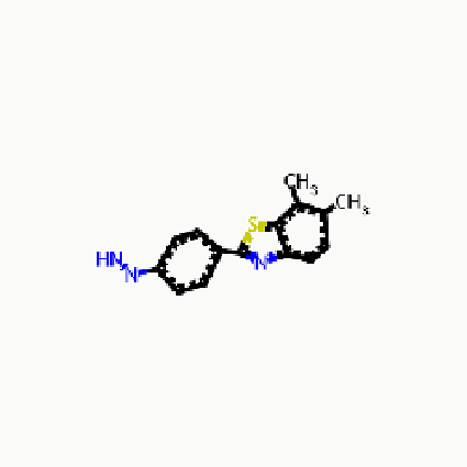 Cc1ccc2nc(-c3ccc(N=N)cc3)sc2c1C